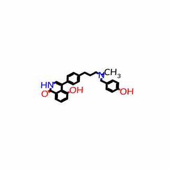 CN(CCCc1ccc(-c2c[nH]c(=O)c3cccc(O)c23)cc1)Cc1ccc(O)cc1